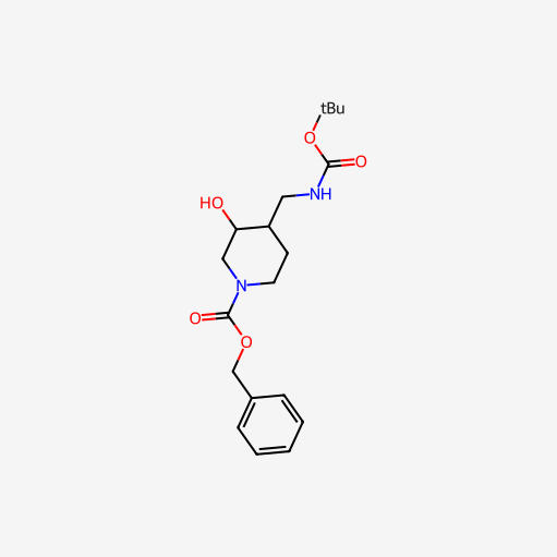 CC(C)(C)OC(=O)NCC1CCN(C(=O)OCc2ccccc2)CC1O